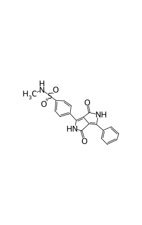 CNS(=O)(=O)c1ccc(C2=C3C(=O)NC(c4ccccc4)=C3C(=O)N2)cc1